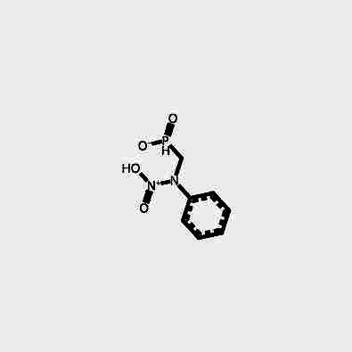 O=[N+](O)N(C[PH](=O)[O-])c1ccccc1